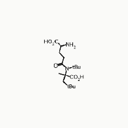 CC(C)(C)C[C@@](C)(C(=O)O)N(C(=O)CC[C@H](N)C(=O)O)C(C)(C)C